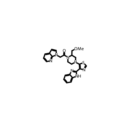 COCC1CN(c2scnc2-c2nc3ccccc3[nH]2)CCN1C(=O)Cn1ccc2cccnc21